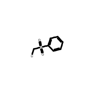 [Li][CH2]S(=O)(=O)c1ccccc1